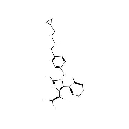 CCCCc1nc(C(N)=C(C)C)c(C2=CCCC=C2C)n1Cc1ccc(CNCCC2CC2)cc1